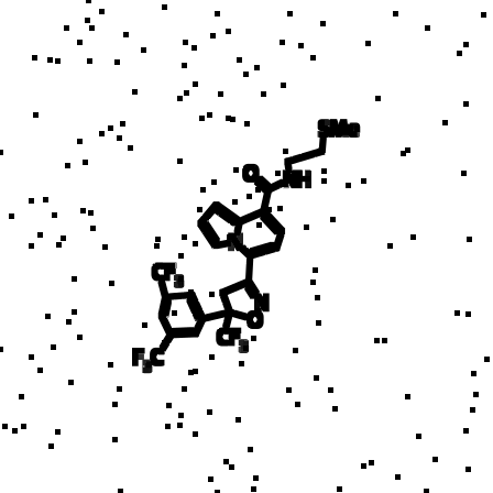 CSCCNC(=O)c1ccc(C2=NOC(c3cc(C(F)(F)F)cc(C(F)(F)F)c3)(C(F)(F)F)C2)n2cccc12